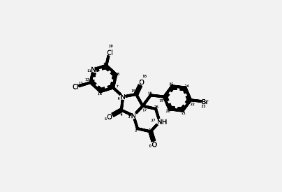 O=C1CN2C(=O)N(c3cc(Cl)nc(Cl)c3)C(=O)C2(Cc2ccc(Br)cc2)CN1